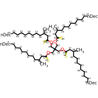 CCCCCCCCCCCCCCCCCCC(C)CC(=S)OCC(COC(=S)CC(C)CCCCCCCCCCCCCCCCCC)(COC(=S)CC(C)CCCCCCCCCCCCCCCCCC)COC(=S)CC(C)CCCCCCCCCCCCCCCCCC